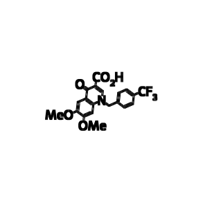 COc1cc2c(=O)c(C(=O)O)cn(Cc3ccc(C(F)(F)F)cc3)c2cc1OC